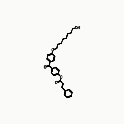 O=C(/C=C/c1ccccc1)Oc1ccc(C(=O)c2ccc(OCCCCCCCCO)cc2)cc1